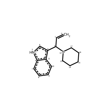 C=CC(c1c[nH]c2ccccc12)N1[CH]CCCC1